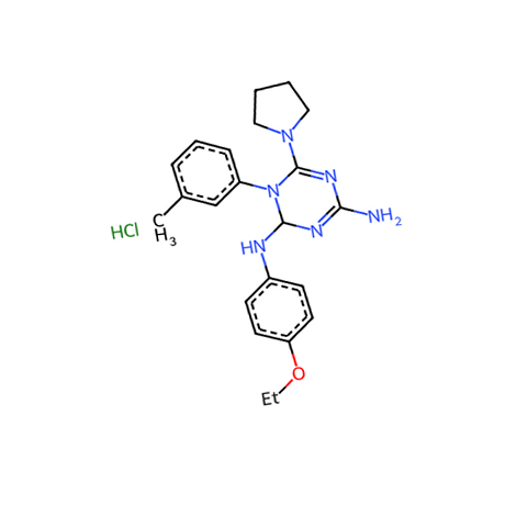 CCOc1ccc(NC2N=C(N)N=C(N3CCCC3)N2c2cccc(C)c2)cc1.Cl